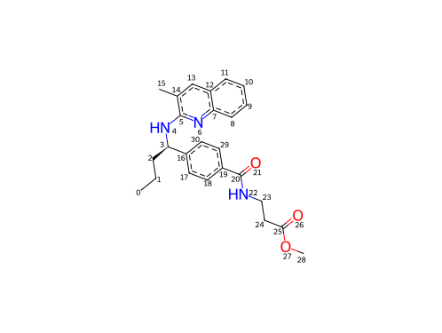 CCC[C@@H](Nc1nc2ccccc2cc1C)c1ccc(C(=O)NCCC(=O)OC)cc1